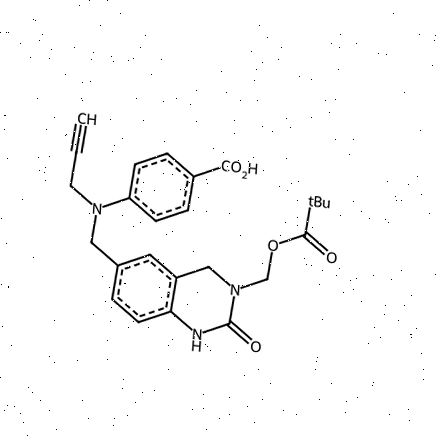 C#CCN(Cc1ccc2c(c1)CN(COC(=O)C(C)(C)C)C(=O)N2)c1ccc(C(=O)O)cc1